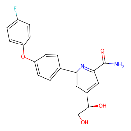 NC(=O)c1cc([C@@H](O)CO)cc(-c2ccc(Oc3ccc(F)cc3)cc2)n1